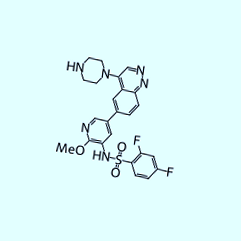 COc1ncc(-c2ccc3nncc(N4CCNCC4)c3c2)cc1NS(=O)(=O)c1ccc(F)cc1F